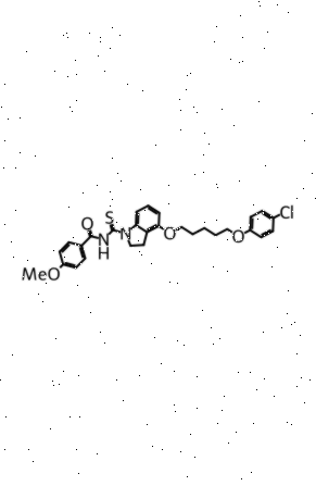 COc1ccc(C(=O)NC(=S)N2CCc3c(OCCCCCOc4ccc(Cl)cc4)cccc32)cc1